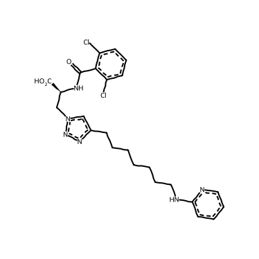 O=C(N[C@@H](Cn1cc(CCCCCCCNc2ccccn2)nn1)C(=O)O)c1c(Cl)cccc1Cl